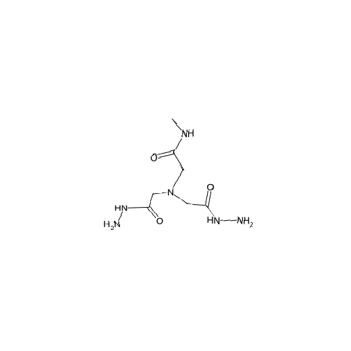 CNC(=O)CN(CC(=O)NN)CC(=O)NN